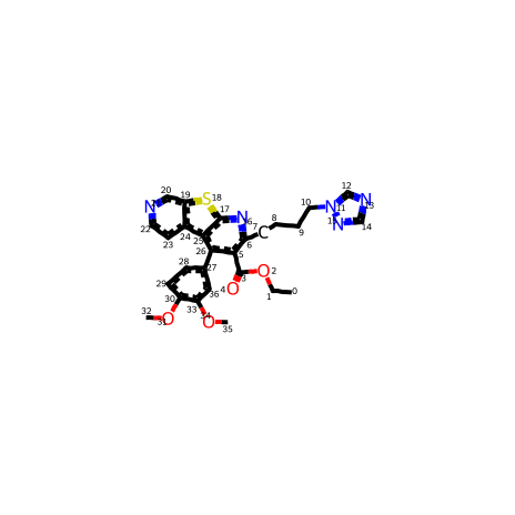 CCOC(=O)c1c(CCCCn2cncn2)nc2sc3cnccc3c2c1-c1ccc(OC)c(OC)c1